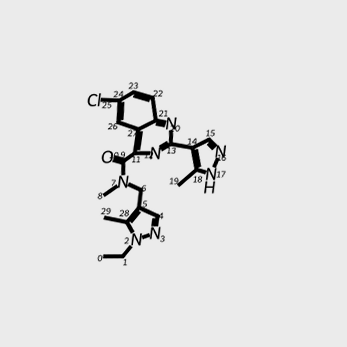 CCn1ncc(CN(C)C(=O)c2nc(-c3cn[nH]c3C)nc3ccc(Cl)cc23)c1C